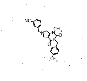 Cn1c2c(c(=O)n(Cc3ccc(C(F)(F)F)cc3)c1=O)CN(Cc1cccc(C#N)c1)C2